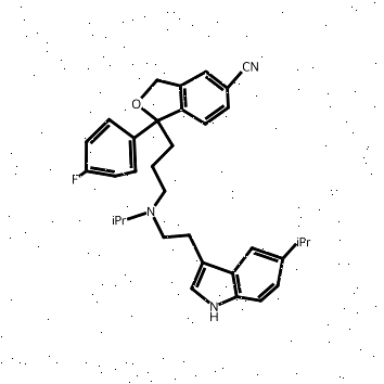 CC(C)c1ccc2[nH]cc(CCN(CCCC3(c4ccc(F)cc4)OCc4cc(C#N)ccc43)C(C)C)c2c1